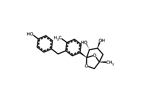 Cc1ccc([C@@]23OC[C@@](C)(C[C@H](O)[C@H]2O)O3)cc1Cc1ccc(O)cc1